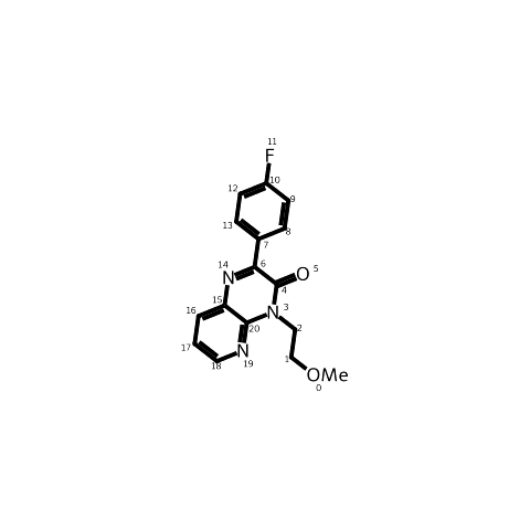 COCCn1c(=O)c(-c2ccc(F)cc2)nc2cccnc21